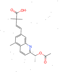 CC(=O)O[C@H](C)c1ccc2c(C)cc(/C=C/C(C)(C)C(=O)O)cc2n1